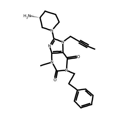 CC#CCn1c(N2CCC[C@@H](N)C2)nc2c1c(=O)n(CCc1ccccc1)c(=O)n2C